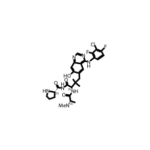 CN[C@@H](C)C(=O)N[C@H](C(=O)NC(=O)[C@@H]1CCCN1)C(C)(C)Cc1cc2c(Nc3ccc(F)c(Cl)c3F)ncnc2cc1O